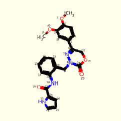 COc1ccc(C2=NN(Cc3ccccc3NC(=O)c3ccc[nH]3)C(=O)OC2)cc1OC